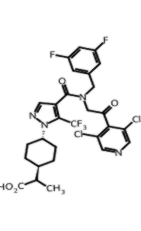 CC(C(=O)O)[C@H]1CC[C@H](n2ncc(C(=O)N(CC(=O)c3c(Cl)cncc3Cl)Cc3cc(F)cc(F)c3)c2C(F)(F)F)CC1